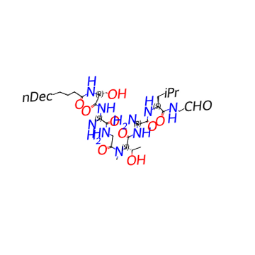 CCCCCCCCCCCCCC(=O)N[C@H](CO)C(=O)N[C@H](N)C(=O)NCC(=O)N(C)[C@H](C(=O)N[C@@H](N)C(=O)N[C@@H](CC(C)C)C(=O)NCC=O)C(C)O